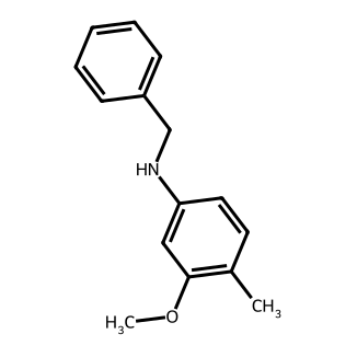 COc1cc(NCc2ccccc2)ccc1C